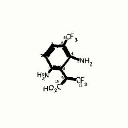 Nc1ccc(C(F)(F)F)c(N)c1C(C(=O)O)C(F)(F)F